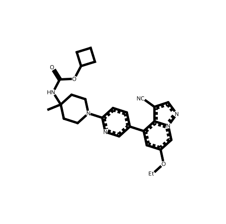 CCOc1cc(-c2ccc(N3CCC(C)(NC(=O)OC4CCC4)CC3)nc2)c2c(C#N)cnn2c1